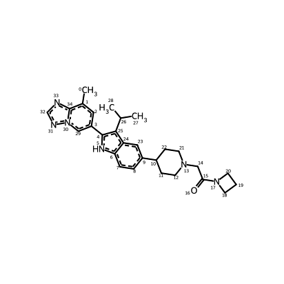 Cc1cc(-c2[nH]c3ccc(C4CCN(CC(=O)N5CCC5)CC4)cc3c2C(C)C)cn2ncnc12